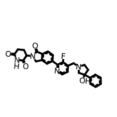 O=C1CCC(N2Cc3cc(-c4nccc(CN5CCC(O)(c6ccccc6)C5)c4F)ccc3C2=O)C(=O)N1